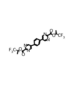 C[C@H](OC(=O)c1ncc(-c2ccc(-c3cnc(C(=O)O[C@@H](C)C(F)(F)F)nc3)cc2)cn1)C(F)(F)F